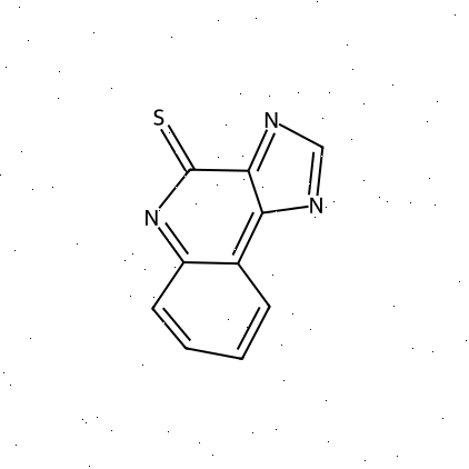 S=C1N=c2ccccc2=C2N=CN=C12